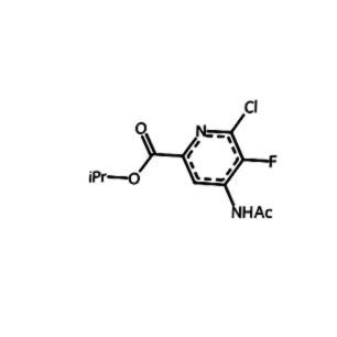 CC(=O)Nc1cc(C(=O)OC(C)C)nc(Cl)c1F